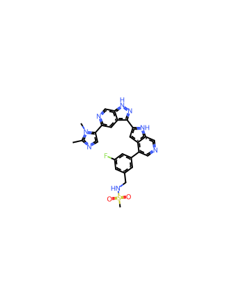 Cc1ncc(-c2cc3c(-c4cc5c(-c6cc(F)cc(CNS(C)(=O)=O)c6)cncc5[nH]4)n[nH]c3cn2)n1C